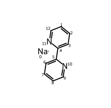 [Na].c1ccc(-c2ccccn2)nc1